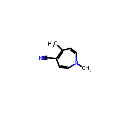 CC1=C(C#N)C=CN(C)C=C1